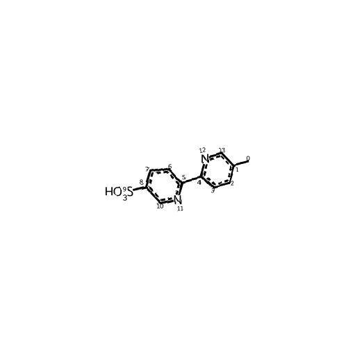 Cc1ccc(-c2ccc(S(=O)(=O)O)cn2)nc1